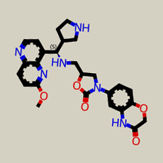 COc1ccc2nccc([C@@H](NCC3CN(c4ccc5c(c4)NC(=O)CO5)C(=O)O3)C3CCNC3)c2n1